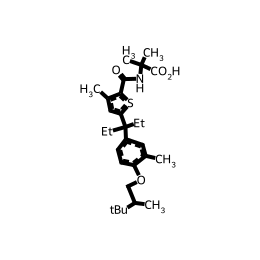 CCC(CC)(c1ccc(OCC(C)C(C)(C)C)c(C)c1)c1cc(C)c(C(=O)NC(C)(C)C(=O)O)s1